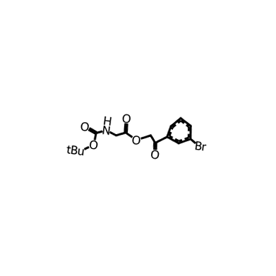 CC(C)(C)OC(=O)NCC(=O)OCC(=O)c1cccc(Br)c1